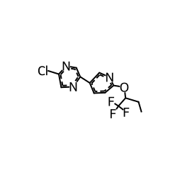 CCC(Oc1ccc(-c2cnc(Cl)cn2)cn1)C(F)(F)F